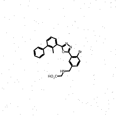 Cc1c(-c2ccccc2)cccc1-c1nnc(-c2cc(CNCC(=O)O)ccc2Br)o1